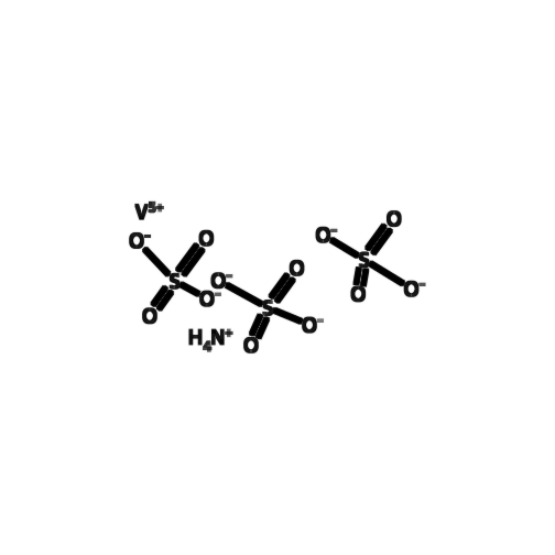 O=S(=O)([O-])[O-].O=S(=O)([O-])[O-].O=S(=O)([O-])[O-].[NH4+].[V+5]